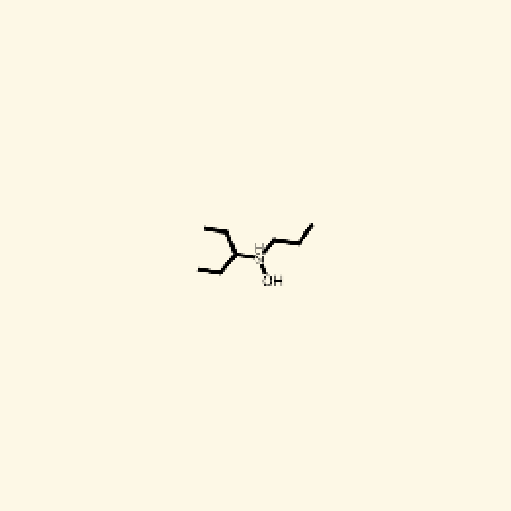 CCC[SiH](O)C(CC)CC